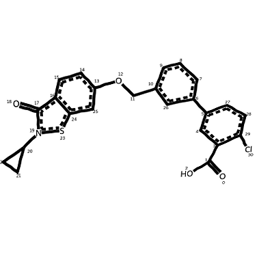 O=C(O)c1cc(-c2cccc(COc3ccc4c(=O)n(C5CC5)sc4c3)c2)ccc1Cl